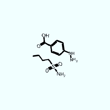 CCCCS(N)(=O)=O.NNc1ccc(C(=O)O)cc1